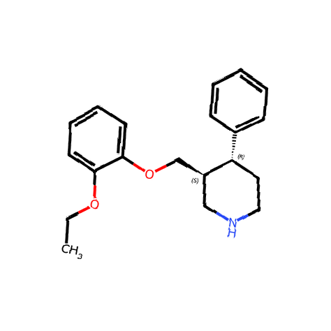 CCOc1ccccc1OC[C@@H]1CNCC[C@H]1c1ccccc1